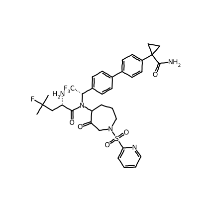 CC(C)(F)C[C@H](N)C(=O)N(C1CCCN(S(=O)(=O)c2ccccn2)CC1=O)[C@@H](c1ccc(-c2ccc(C3(C(N)=O)CC3)cc2)cc1)C(F)(F)F